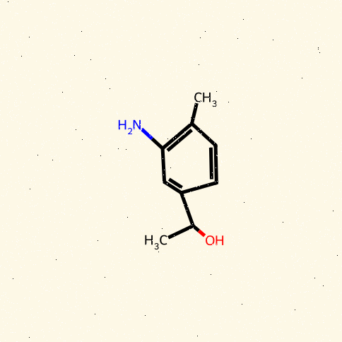 Cc1ccc(C(C)O)cc1N